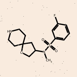 CN(C1COC2(CCNCC2)C1)S(=O)(=O)c1cccc(F)c1